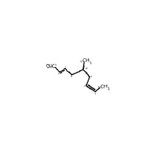 C/C=C\CC(C)C/C=C/C=O